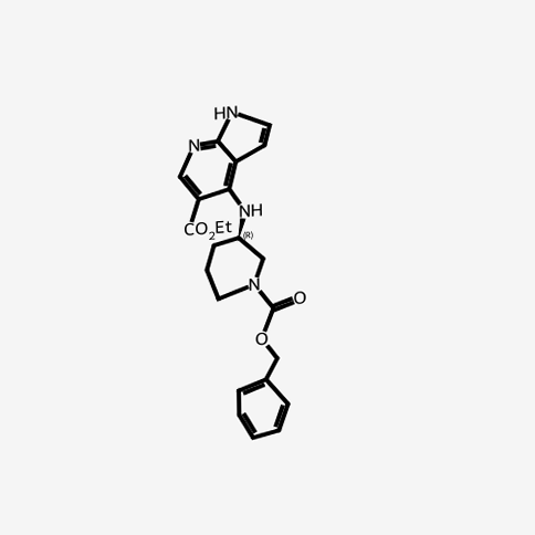 CCOC(=O)c1cnc2[nH]ccc2c1N[C@@H]1CCCN(C(=O)OCc2ccccc2)C1